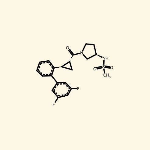 CS(=O)(=O)N[C@@H]1CCN(C(=O)[C@@H]2C[C@H]2c2ccccc2-c2cc(F)cc(F)c2)C1